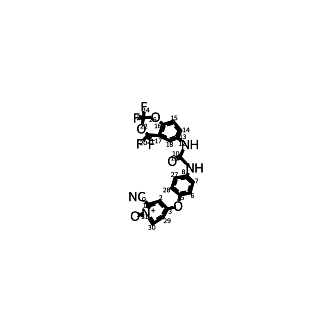 N#Cc1cc(Oc2ccc(NC(=O)Nc3ccc4c(c3)C(F)(F)OC(F)(F)O4)cc2)cc[n+]1[O-]